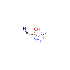 C[N+](C)(C)CC(O)CC#N.N